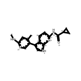 CNc1cc(C)c(-c2c[nH]c3nc(NC(=O)C4CC4)ccc23)cn1